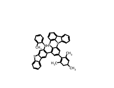 CC1=CC(C)CC(C)=C1c1cc(-c2cc3c(cc2Nc2ccccc2C)sc2ccccc23)c2c(c1)-n1c3ccccc3c3cccc(c31)S2